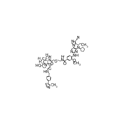 CC[C@@H]1c2c(C#N)ncn2-c2cnc(Nc3ccc(C(=O)NCCOCC(=O)N[C@H](C(=O)N4C[C@H](O)C[C@H]4C(=O)NCc4ccc(-c5scnc5C)cc4)C(C)(C)C)cc3OC)nc2N1C1CCCC1